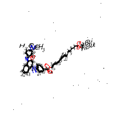 CCCCC(CCCC)OC(=O)CCCCCCCCCCOC(=O)c1ccc(N=c2cc3oc4cc(N(C)C)ccc4nc-3c3ccccc23)cc1